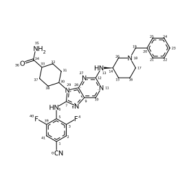 N#Cc1cc(F)c(Nc2nc3cnc(N[C@@H]4CCCN(Cc5ccccc5)C4)nc3n2C2CCC(C(N)=O)CC2)c(F)c1